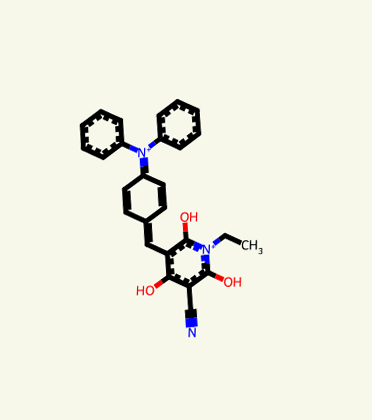 CC[n+]1c(O)c(C#N)c(O)c(C=C2C=CC(=[N+](c3ccccc3)c3ccccc3)C=C2)c1O